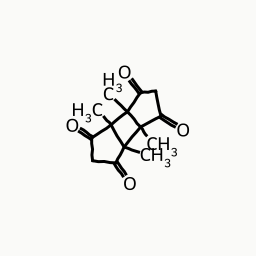 CC12C(=O)CC(=O)C1(C)C1(C)C(=O)CC(=O)C21C